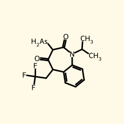 CC(C)N1C(=O)C([AsH2])C(=O)C(CC(F)(F)F)c2ccccc21